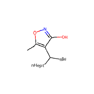 CCCCCCCC(CCCC)c1c(O)noc1C